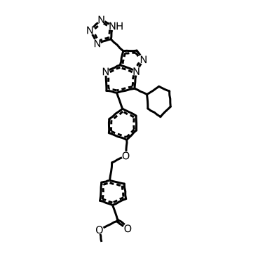 COC(=O)c1ccc(COc2ccc(-c3cnc4c(-c5nnn[nH]5)cnn4c3C3CCCCC3)cc2)cc1